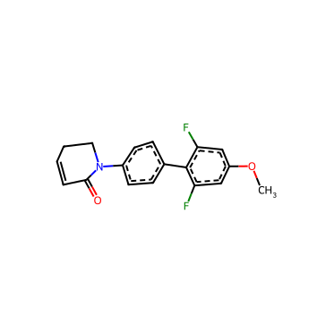 COc1cc(F)c(-c2ccc(N3CCC=CC3=O)cc2)c(F)c1